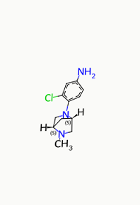 CN1C[C@@H]2C[C@H]1CN2c1ccc(N)cc1Cl